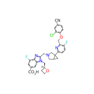 N#Cc1ccc(OCc2nc(C34CC3CN(Cc3nc5c(F)cc(C(=O)O)cc5n3C[C@@H]3CCO3)C4)ccc2F)c(Cl)c1